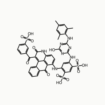 Cc1cc(C)c(Nc2nc(O)nc(Nc3cc(Nc4ccc5[nH]c(=O)c(C(=O)c6cccc(S(=O)(=O)O)c6)c6c5c4C(=O)c4ccccc4-6)c(S(=O)(=O)O)cc3S(=O)(=O)O)n2)c(C)c1